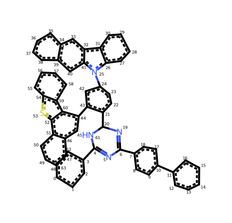 c1ccc(C2=NC(c3ccc(-c4ccccc4)cc3)=NC(c3ccc(-n4c5ccccc5c5cc6ccccc6cc54)cc3-c3cc4ccccc4c4sc5ccccc5c34)N2)cc1